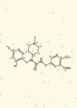 COc1cc(CNC(=O)N(Cc2ccc(F)cc2F)C2CCN(C)CC2)ccc1Cl